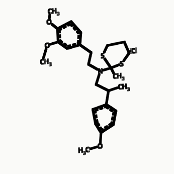 COc1ccc(C(C)CN(CCc2ccc(OC)c(OC)c2)C2(C)SCCCS2)cc1.Cl